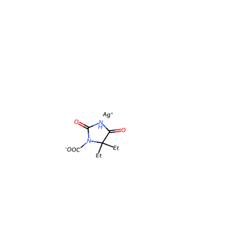 CCC1(CC)C(=O)NC(=O)N1C(=O)[O-].[Ag+]